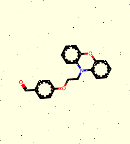 O=Cc1ccc(OCCN2c3ccccc3Oc3ccccc32)cc1